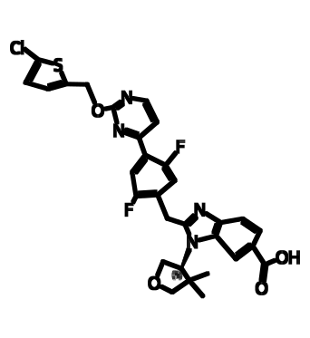 CC1(C)COC[C@H]1n1c(Cc2cc(F)c(-c3ccnc(OCc4ccc(Cl)s4)n3)cc2F)nc2ccc(C(=O)O)cc21